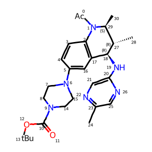 CC(=O)N1c2ccc(N3CCN(C(=O)OC(C)(C)C)CC3)cc2[C@H](Nc2cnc(C)cn2)[C@@H](C)[C@@H]1C